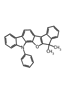 CC1(C)c2ccccc2-c2c1oc1c2ccc2c3ccccc3n(-c3ccccc3)c21